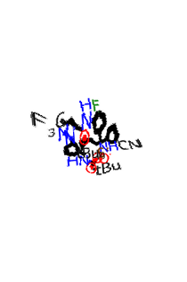 CC(C)(C)OC(=O)NCc1cccc(-n2nc(C(F)(F)F)cc2C(=O)Nc2cc(C(CCC3CC3)(N[S@@+]([O-])C(C)(C)C)c3cccc(C#N)c3)ccc2F)c1